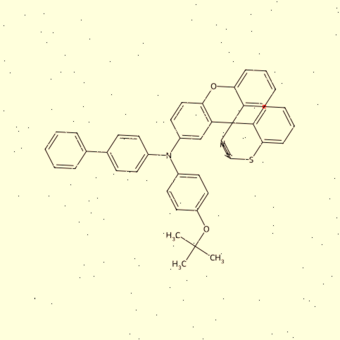 CC(C)(C)Oc1ccc(N(c2ccc(-c3ccccc3)cc2)c2ccc3c(c2)C2(c4ccccc4O3)c3ccccc3Sc3ccccc32)cc1